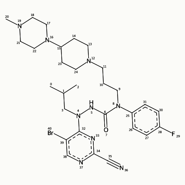 CC(C)CN(NC(=O)N(CCCN1CCC(N2CCN(C)CC2)CC1)c1ccc(F)cc1)c1nc(C#N)ncc1Br